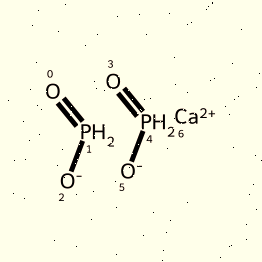 O=[PH2][O-].O=[PH2][O-].[Ca+2]